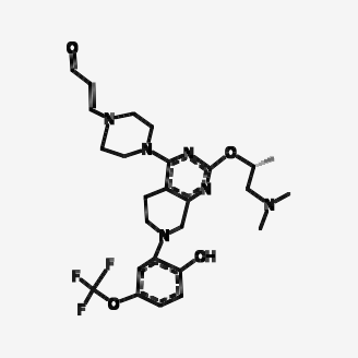 C[C@H](CN(C)C)Oc1nc2c(c(N3CCN(C=CC=O)CC3)n1)CCN(c1cc(OC(F)(F)F)ccc1O)C2